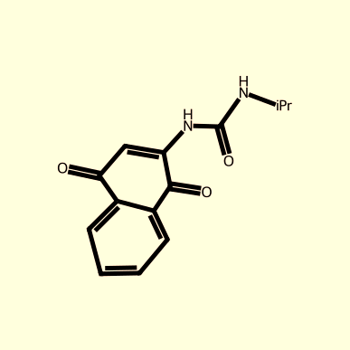 CC(C)NC(=O)NC1=CC(=O)c2ccccc2C1=O